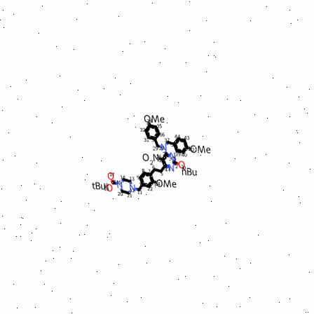 CCCCOc1nc(CCc2ccc(CN3CCN(C(=O)OC(C)(C)C)CC3)cc2OC)c([N+](=O)[O-])c(N(Cc2ccc(OC)cc2)Cc2ccc(OC)cc2)n1